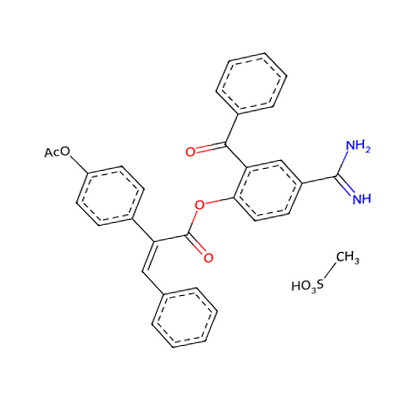 CC(=O)Oc1ccc(C(=Cc2ccccc2)C(=O)Oc2ccc(C(=N)N)cc2C(=O)c2ccccc2)cc1.CS(=O)(=O)O